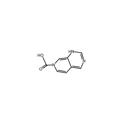 O=C(O)N1C=CC2=CN=CNC2=C1